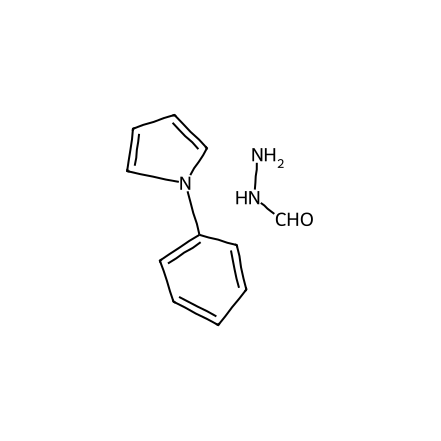 NNC=O.c1ccc(-n2cccc2)cc1